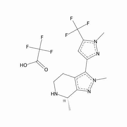 C[C@@H]1NCCc2c1nn(C)c2-c1cc(C(F)(F)F)n(C)n1.O=C(O)C(F)(F)F